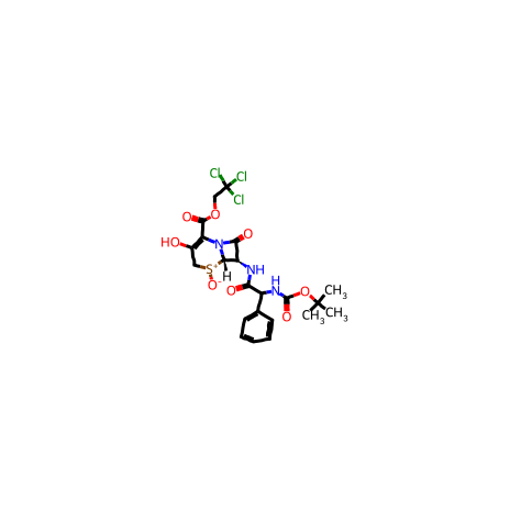 CC(C)(C)OC(=O)NC(C(=O)N[C@@H]1C(=O)N2C(C(=O)OCC(Cl)(Cl)Cl)=C(O)C[S+]([O-])[C@@H]12)c1ccccc1